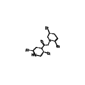 CCC1CCC(CC)N(CC(=O)C2CC(CC)NCC2CC)C1